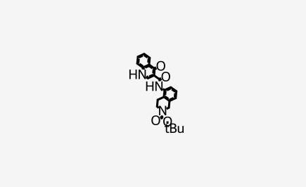 CC(C)(C)OC(=O)N1CCc2c(cccc2NC(=O)c2c[nH]c3ccccc3c2=O)C1